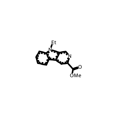 CCn1c2ccccc2c2cc(C(=O)OC)ncc21